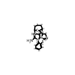 NC(=O)N(CC1NC2CCCC(O1)C(C1CN=CS1)C2)c1ccccc1F